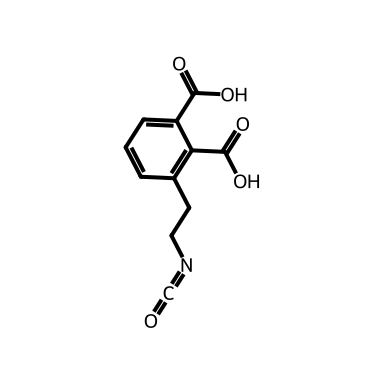 O=C=NCCc1cccc(C(=O)O)c1C(=O)O